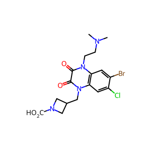 CN(C)CCn1c(=O)c(=O)n(CC2CN(C(=O)O)C2)c2cc(Cl)c(Br)cc21